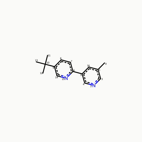 Cc1cncc(-c2ccc(C(C)(C)C)cn2)c1